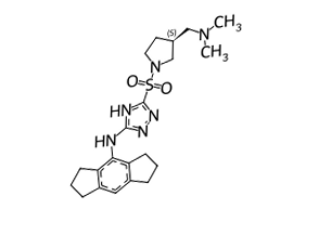 CN(C)C[C@@H]1CCN(S(=O)(=O)c2nnc(Nc3c4c(cc5c3CCC5)CCC4)[nH]2)C1